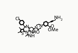 COC(=O)c1cc(N2CCN(C(=O)C[C@@H]3N=C(c4ccc(Cl)cc4)c4c(sc(C)c4C)N(C(C)=N)C3=N)C(=O)C2)ccc1C#CCN